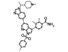 Cc1ccc(S(=O)(=O)n2cc(-c3ccc(C(N)=O)c(C)c3C)c3cc(-c4ccc5c(c4)ncn5C(C)C4CCN(C)CC4)cnc32)cc1